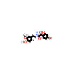 COc1cc(CCNC(=O)C(O)c2ccc(Br)cc2)ccc1O